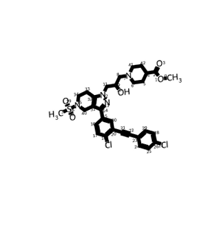 COC(=O)C1CCN(CC(O)Cn2nc(-c3ccc(Cl)c(C#Cc4ccc(Cl)cc4)c3)c3c2CCN(S(C)(=O)=O)C3)CC1